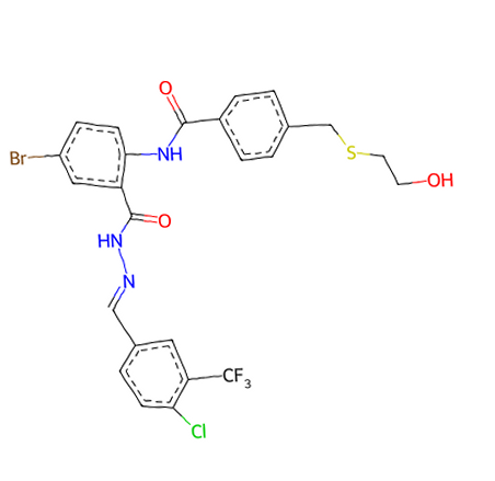 O=C(Nc1ccc(Br)cc1C(=O)N/N=C/c1ccc(Cl)c(C(F)(F)F)c1)c1ccc(CSCCO)cc1